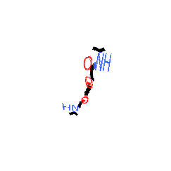 CC(C)NCCOCCOCC(=O)NC(C)C